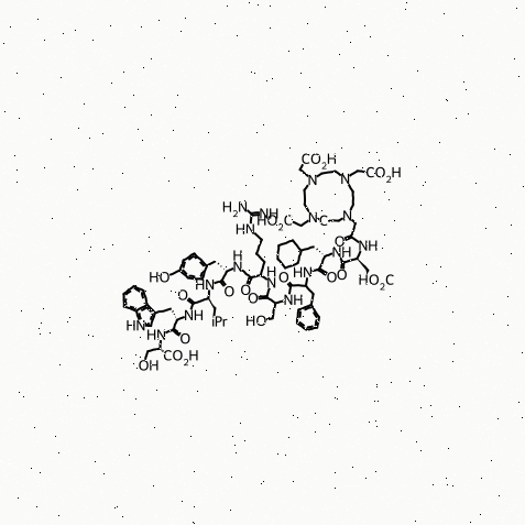 CC(C)C[C@H](NC(=O)[C@H](Cc1ccc(O)cc1)NC(=O)C(CCCNC(=N)N)NC(=O)C(CO)NC(=O)C(Cc1ccccc1)NC(=O)[C@H](CC1CCCCC1)NC(=O)[C@H](CC(=O)O)NC(=O)CN1CCN(CC(=O)O)CCN(CC(=O)O)CCN(CC(=O)O)CC1)C(=O)N[C@@H](Cc1c[nH]c2ccccc12)C(=O)N[C@@H](CO)C(=O)O